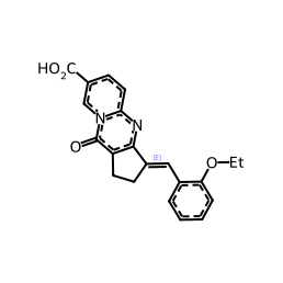 CCOc1ccccc1/C=C1\CCc2c1nc1ccc(C(=O)O)cn1c2=O